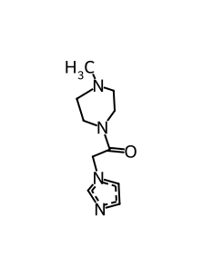 CN1CCN(C(=O)Cn2ccnc2)CC1